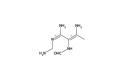 C/C(N)=C(NC=O)/C(N)=N\CN